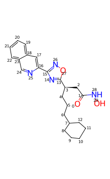 O=C(C[C@@H](CCCC1CCCCC1)c1nc(-c2cc3ccccc3cn2)no1)NO